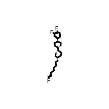 FC=CCCCCCC[C@H]1CC[C@H]([C@H]2CC[C@H](c3ccc(F)c(F)c3)CC2)CC1